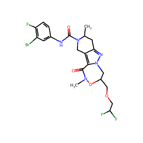 CC1Cc2nn3c(c2CN1C(=O)Nc1ccc(F)c(Br)c1)C(=O)N(C)OC(COCC(F)F)C3